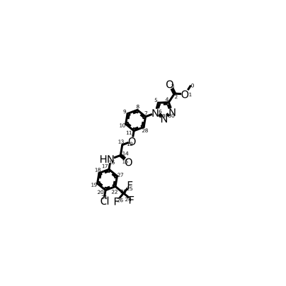 COC(=O)c1cn(-c2cccc(OCC(=O)Nc3ccc(Cl)c(C(F)(F)F)c3)c2)nn1